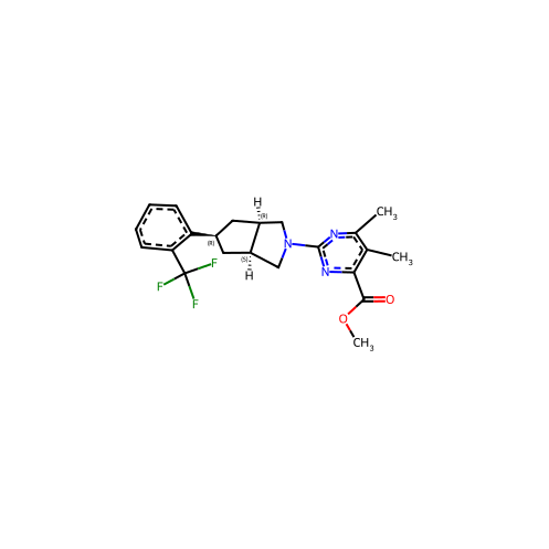 COC(=O)c1nc(N2C[C@H]3C[C@@H](c4ccccc4C(F)(F)F)C[C@H]3C2)nc(C)c1C